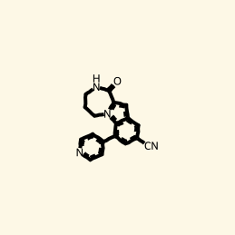 N#Cc1cc(-c2ccncc2)c2c(c1)cc1n2CCCNC1=O